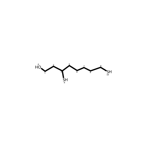 OCCC(S)CCCCCS